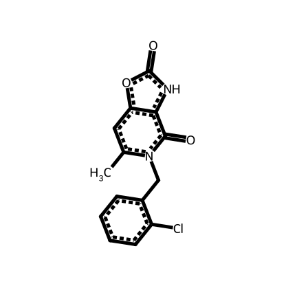 Cc1cc2oc(=O)[nH]c2c(=O)n1Cc1ccccc1Cl